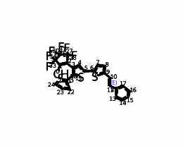 CC1=C(c2cc(-c3ccc(/C=C/c4ccccc4)s3)sc2-c2cccs2)C(F)(F)C(F)(F)C1(F)F